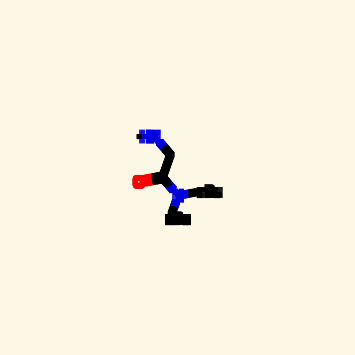 CCCCN(CCCC)C(=O)C[NH]